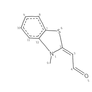 CN1C(=CC=O)Sc2ccccc21